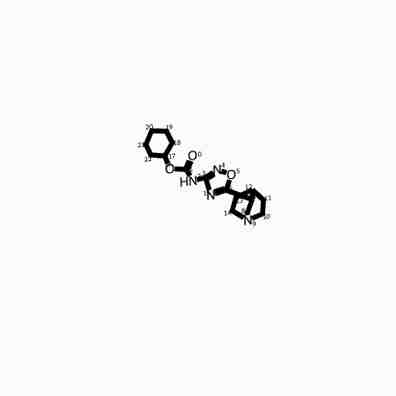 O=C(Nc1noc(C2CN3CCC2CC3)n1)OC1CCCCC1